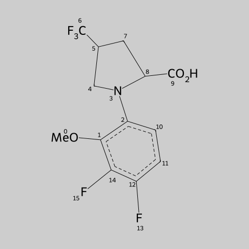 COc1c(N2CC(C(F)(F)F)CC2C(=O)O)ccc(F)c1F